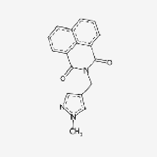 Cn1cc(CN2C(=O)c3cccc4cccc(c34)C2=O)cn1